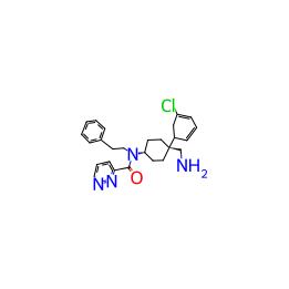 NC[C@]1(C2C=CC=C(Cl)C2)CC[C@H](N(CCc2ccccc2)C(=O)c2cccnn2)CC1